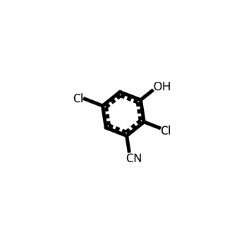 N#Cc1cc(Cl)cc(O)c1Cl